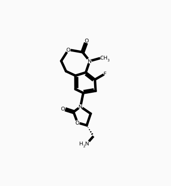 CN1C(=O)OCCc2cc(N3C[C@H](CN)OC3=O)cc(F)c21